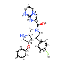 O=C(c1cn2cccnc2n1)N(CCc1ccc(F)cc1)C[C@@H]1C[C@H](Oc2ccccc2)CN1